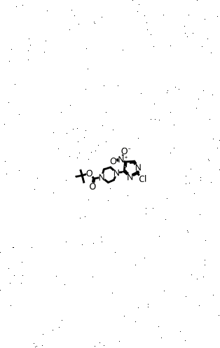 CC(C)(C)OC(=O)N1CCN(c2nc(Cl)ncc2[N+](=O)[O-])CC1